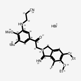 Br.CCOc1cc2c(c(F)c1OCC)C(=N)N(CC(=O)c1cc(NCCC#N)c(OC)c(C(C)(C)C)c1)C2